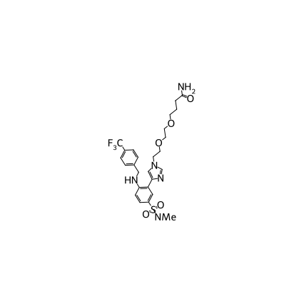 CNS(=O)(=O)c1ccc(NCc2ccc(C(F)(F)F)cc2)c(-c2cn(CCOCCOCCCC(N)=O)cn2)c1